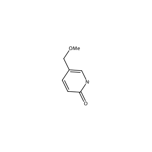 COCC1=C[N]C(=O)C=C1